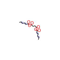 C/C=C/C=C/C(=O)OC(=O)CCC(=O)OC(=O)/C=C/C=C/C